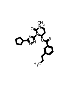 CCCc1cccc(C(=S)OC2CCN(C)C(=O)N2c2nnc(C3CCCC3)s2)c1